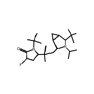 CC(C)N1C(CC(C)(C)C2CC(F)C(=O)N2C(C)(C)C)C2CC2C1C(C)(C)C